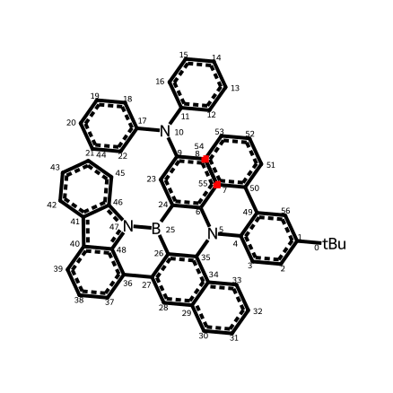 CC(C)(C)c1ccc(N2c3ccc(N(c4ccccc4)c4ccccc4)cc3B3c4c(cc5ccccc5c42)-c2cccc4c5ccccc5n3c24)c(-c2ccccc2)c1